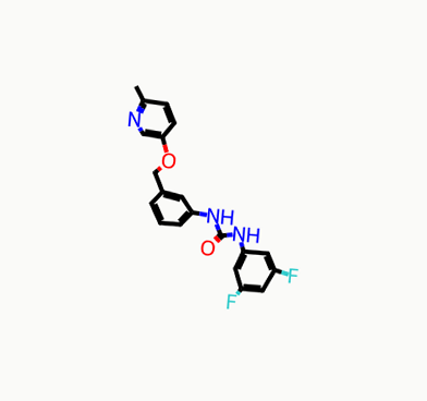 Cc1ccc(OCc2cccc(NC(=O)Nc3cc(F)cc(F)c3)c2)cn1